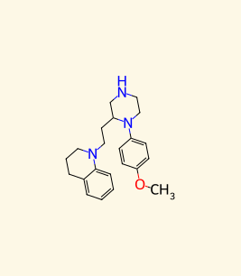 COc1ccc(N2CCNCC2CCN2CCCc3ccccc32)cc1